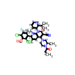 C=CC(=O)N1CCN(c2c(C#N)c(=O)n(-c3c(C)ccnc3C(C)C)c3nc(-c4c(F)c(F)c(Cl)c(O)c4Cl)c(Cl)cc23)C[C@H]1C